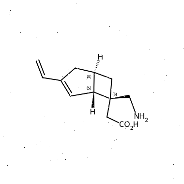 C=CC1=C[C@@H]2[C@@H](C1)C[C@]2(CN)CC(=O)O